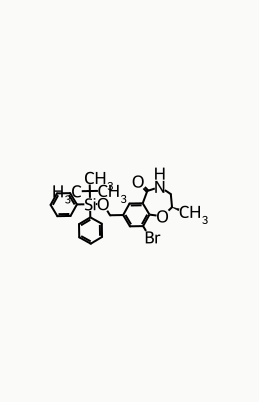 C[C@@H]1CNC(=O)c2cc(CO[Si](c3ccccc3)(c3ccccc3)C(C)(C)C)cc(Br)c2O1